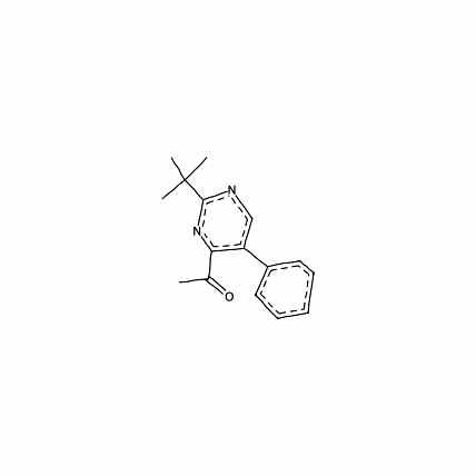 CC(=O)c1nc(C(C)(C)C)ncc1-c1ccccc1